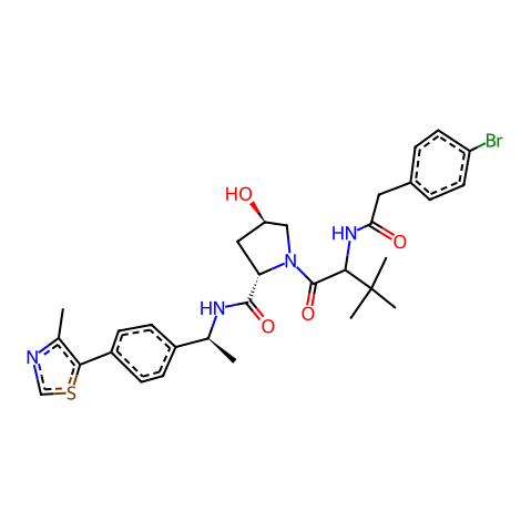 Cc1ncsc1-c1ccc([C@H](C)NC(=O)[C@@H]2C[C@@H](O)CN2C(=O)C(NC(=O)Cc2ccc(Br)cc2)C(C)(C)C)cc1